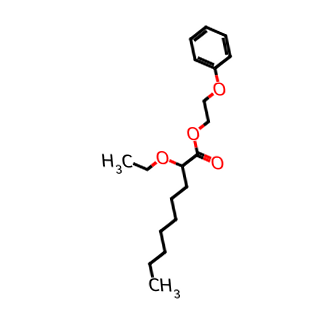 CCCCCCCC(OCC)C(=O)OCCOc1ccccc1